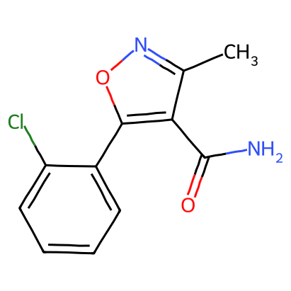 Cc1noc(-c2ccccc2Cl)c1C(N)=O